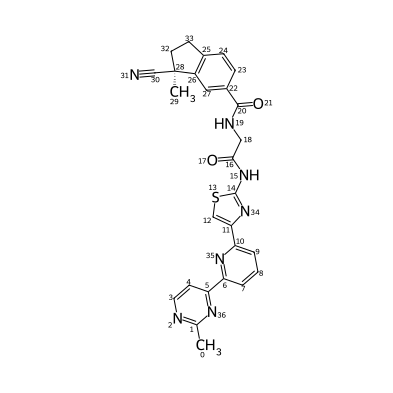 Cc1nccc(-c2cccc(-c3csc(NC(=O)CNC(=O)c4ccc5c(c4)[C@@](C)(C#N)CC5)n3)n2)n1